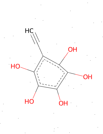 C#Cc1c(O)c(O)c(O)c(O)c1O